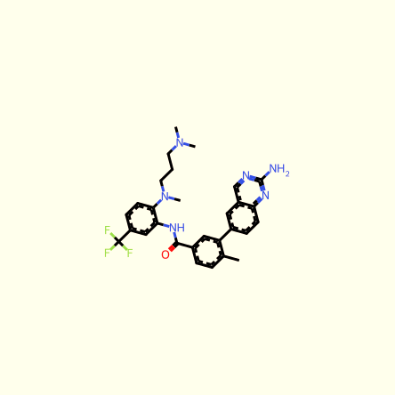 Cc1ccc(C(=O)Nc2cc(C(F)(F)F)ccc2N(C)CCCN(C)C)cc1-c1ccc2nc(N)ncc2c1